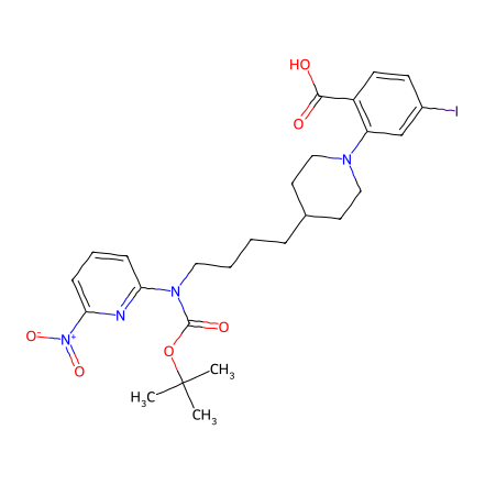 CC(C)(C)OC(=O)N(CCCCC1CCN(c2cc(I)ccc2C(=O)O)CC1)c1cccc([N+](=O)[O-])n1